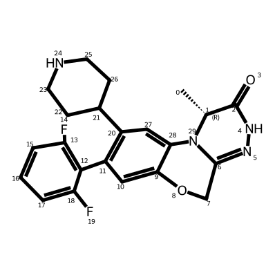 C[C@@H]1C(=O)NN=C2COc3cc(-c4c(F)cccc4F)c(C4CCNCC4)cc3N21